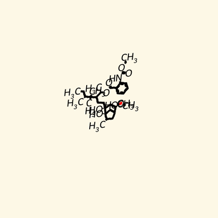 CCOC(=O)Nc1ccccc1C(=O)O[C@@H](C)C(CC[C@@]1(O)C[C@H](OC)C2CC(C)[C@]1(O)[C@H]2OC)C(C)(C)[C@@H](C)CC